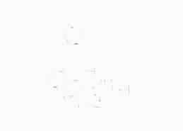 Cc1ccc(COc2cccc3oc(=O)c(C(=O)N[C@@H](C)C(=O)O)c(O)c23)cc1